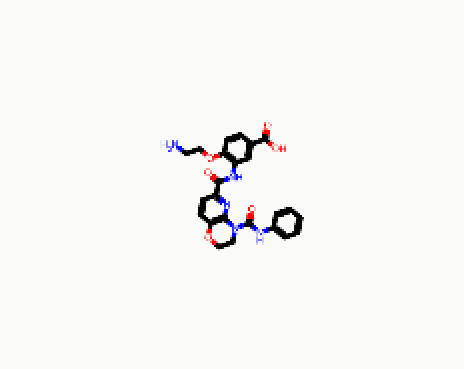 NCCOc1ccc(C(=O)O)cc1NC(=O)c1ccc2c(n1)N(C(=O)Nc1ccccc1)CCO2